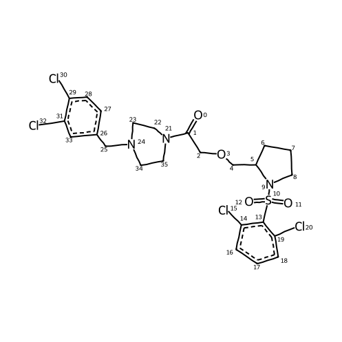 O=C(COCC1CCCN1S(=O)(=O)c1c(Cl)cccc1Cl)N1CCN(Cc2ccc(Cl)c(Cl)c2)CC1